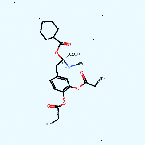 CCC(C)N[C@@](Cc1ccc(OC(=O)CC(C)C)c(OC(=O)CC(C)C)c1)(OC(=O)C1CCCCC1)C(=O)O